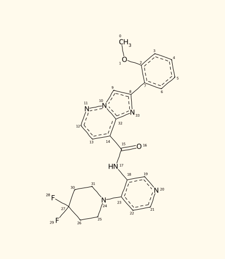 COc1ccccc1-c1cn2nccc(C(=O)Nc3cnccc3N3CCC(F)(F)CC3)c2n1